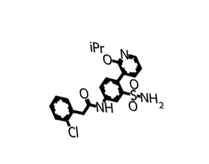 CC(C)Oc1ncccc1-c1ccc(NC(=O)Cc2ccccc2Cl)cc1S(N)(=O)=O